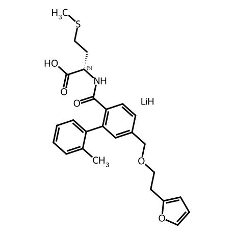 CSCC[C@H](NC(=O)c1ccc(COCCc2ccco2)cc1-c1ccccc1C)C(=O)O.[LiH]